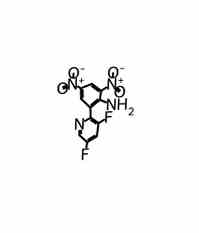 Nc1c(-c2ncc(F)cc2F)cc([N+](=O)[O-])cc1[N+](=O)[O-]